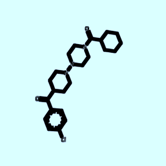 O=C(c1ccc(Cl)cc1)C1CCN(N2CCN(C(=O)C3CCCCC3)CC2)CC1